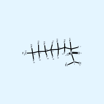 CCN(CC)S(=O)(=O)C(F)(F)C(F)(F)C(F)(F)C(F)(F)C(F)(F)C(F)(F)C(F)(F)C(F)(F)F